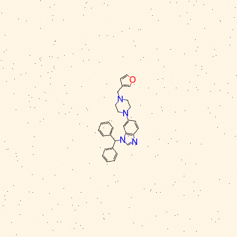 c1ccc(C(c2ccccc2)n2cnc3ccc(N4CCN(Cc5ccoc5)CC4)cc32)cc1